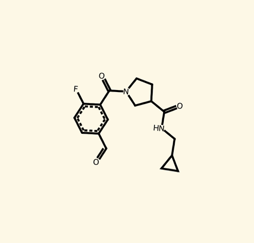 O=Cc1ccc(F)c(C(=O)N2CCC(C(=O)NCC3CC3)C2)c1